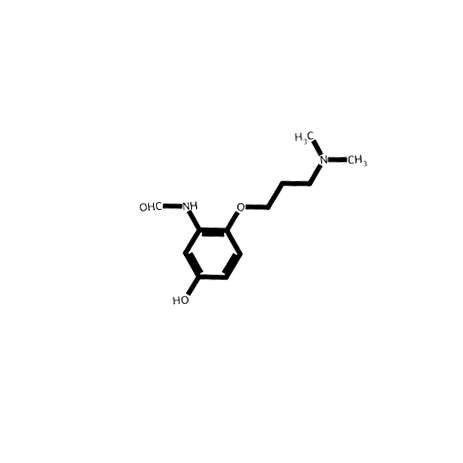 CN(C)CCCOc1ccc(O)cc1NC=O